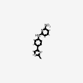 Cc1nc(-c2ccc(Nc3cccc([N+](=O)[O-])n3)cc2)cs1